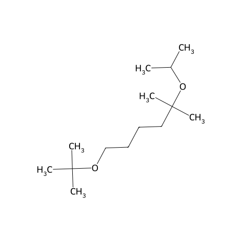 CC(C)OC(C)(C)CCCCOC(C)(C)C